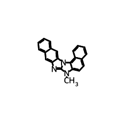 Cn1c2ccc3ccccc3c2n2c3cc4ccccc4cc3nc12